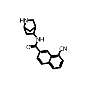 N#Cc1cccc2ccc(C(=O)NC3CC4CC3CN4)cc12